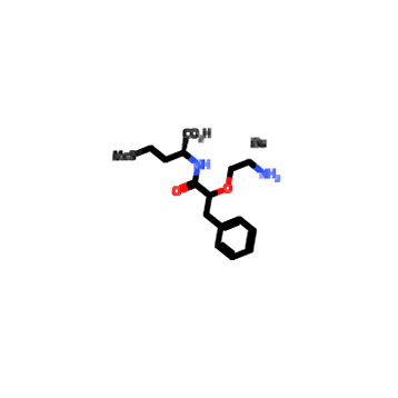 CC[C@H](C)C(N)COC(Cc1ccccc1)C(=O)N[C@@H](CCSC)C(=O)O